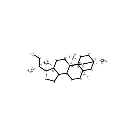 C[C@H](CO)[C@H]1CCC2C3CC[C@@H]4C[C@]5(C)CC[C@]4(C)[C@]3(CC[C@@]21C)O5